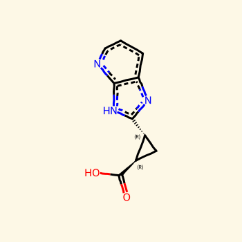 O=C(O)[C@@H]1C[C@H]1c1nc2cccnc2[nH]1